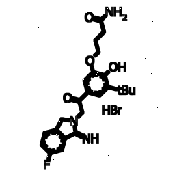 Br.CC(C)(C)c1cc(C(=O)CN2Cc3ccc(F)cc3C2=N)cc(OCCCC(N)=O)c1O